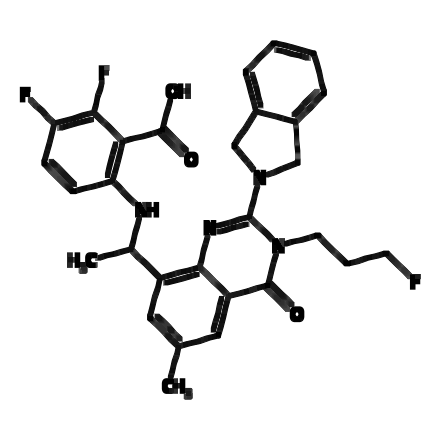 Cc1cc(C(C)Nc2ccc(F)c(F)c2C(=O)O)c2nc(N3Cc4ccccc4C3)n(CCCF)c(=O)c2c1